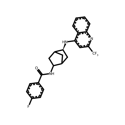 O=C(NC1CC2CC1C[C@@H]2Nc1cc(C(F)(F)F)nc2ccccc12)c1ccc(F)cc1